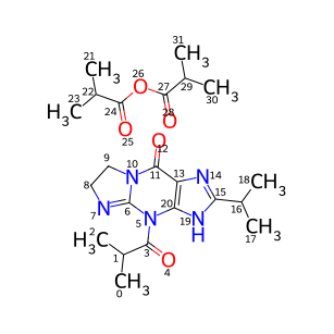 CC(C)C(=O)N1C2=NCCN2C(=O)c2nc(C(C)C)[nH]c21.CC(C)C(=O)OC(=O)C(C)C